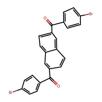 O=C(c1ccc(Br)cc1)c1ccc2cc(C(=O)c3ccc(Br)cc3)ccc2c1